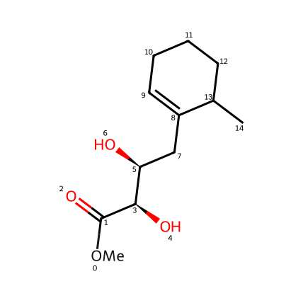 COC(=O)[C@H](O)[C@@H](O)CC1=CCCCC1C